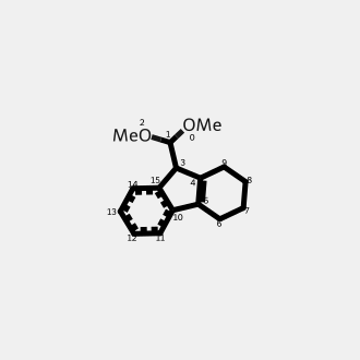 COC(OC)C1C2=C(CCCC2)c2ccccc21